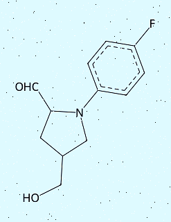 O=CC1CC(CO)CN1c1ccc(F)cc1